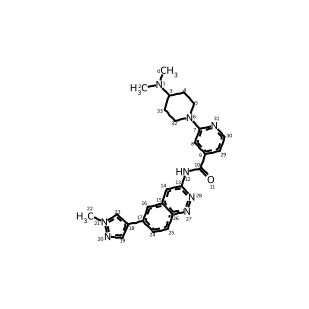 CN(C)C1CCN(c2cc(C(=O)Nc3cc4cc(-c5cnn(C)c5)ccc4nn3)ccn2)CC1